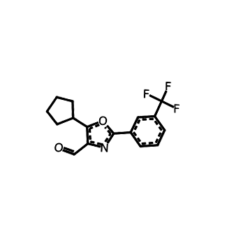 O=Cc1nc(-c2cccc(C(F)(F)F)c2)oc1C1CCCC1